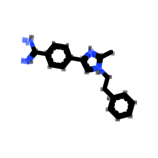 Cc1nc(-c2ccc(C(=N)N)cc2)cn1CCc1ccccc1